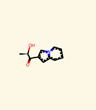 C[C@@H](O)C(=O)c1cc2ccccn2c1